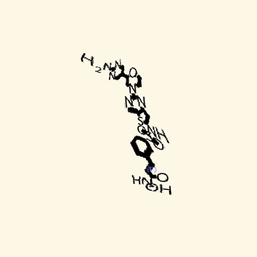 Nc1ncc(C2CN(c3ncc4sc(NS(=O)(=O)c5cccc(/C=C/C(=O)NO)c5)cc4n3)CCO2)cn1